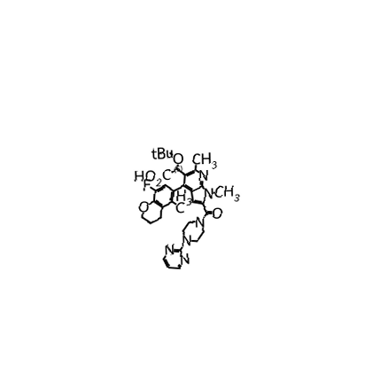 Cc1nc2c(cc(C(=O)N3CCN(c4ncccn4)CC3)n2C)c(-c2cc(F)c3c(c2C)CCCO3)c1[C@H](OC(C)(C)C)C(=O)O